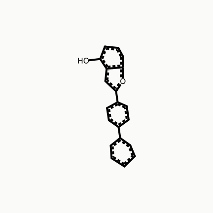 Oc1cccc2oc(-c3ccc(-c4ccccc4)cc3)cc12